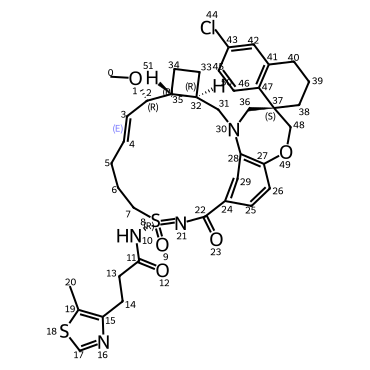 CO[C@H]1/C=C/CCC[S@@](=O)(NC(=O)CCc2ncsc2C)=NC(=O)c2ccc3c(c2)N(C[C@@H]2CC[C@H]21)C[C@@]1(CCCc2cc(Cl)ccc21)CO3